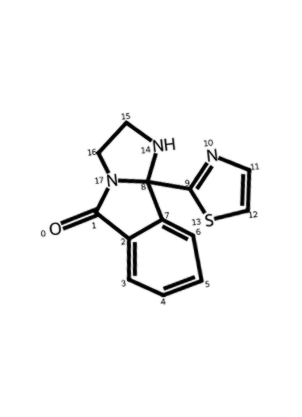 O=C1c2ccccc2C2(c3nccs3)NCCN12